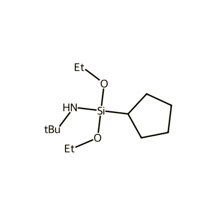 CCO[Si](NC(C)(C)C)(OCC)C1CCCC1